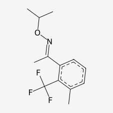 C/C(=N\OC(C)C)c1cccc(C)c1C(F)(F)F